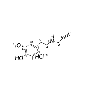 C#CCNCCc1ccc(O)c(O)c1.Cl